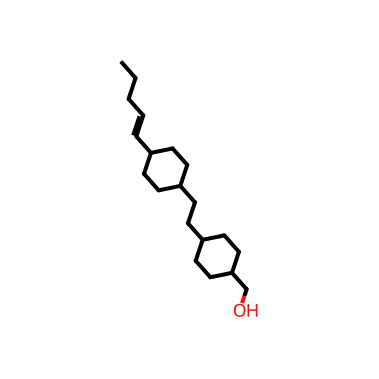 CCCC=CC1CCC(CCC2CCC(CO)CC2)CC1